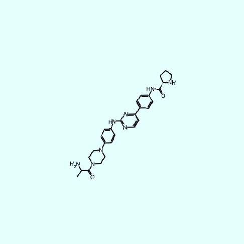 CC(N)C(=O)N1CCN(c2ccc(Nc3nccc(-c4ccc(NC(=O)[C@H]5CCCN5)cc4)n3)cc2)CC1